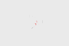 CCCCC(C)OC(=O)OCC#CI